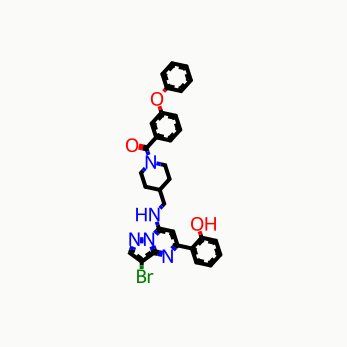 O=C(c1cccc(Oc2ccccc2)c1)N1CCC(CNc2cc(-c3ccccc3O)nc3c(Br)cnn23)CC1